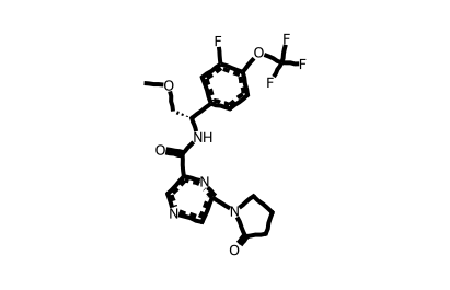 COC[C@@H](NC(=O)c1cncc(N2CCCC2=O)n1)c1ccc(OC(F)(F)F)c(F)c1